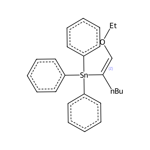 CCCC/[C](=C/OCC)[Sn]([c]1ccccc1)([c]1ccccc1)[c]1ccccc1